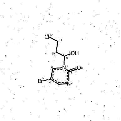 O=c1ncc(Br)cn1C(O)CCCl